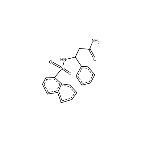 NC(=O)CC(NS(=O)(=O)c1cccc2ccccc12)c1ccccc1